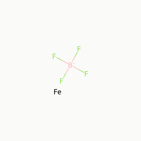 F[B-](F)(F)F.[Fe]